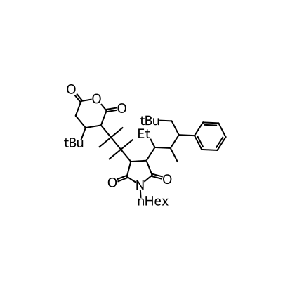 CCCCCCN1C(=O)C(C(CC)C(C)C(CC(C)(C)C)c2ccccc2)C(C(C)(C)C(C)(C)C2C(=O)OC(=O)CC2C(C)(C)C)C1=O